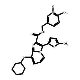 Cc1ccc(-c2c(C(=O)NCc3ccc(C)[n+]([O-])c3)nc3c(NC4CCCCC4)cccn23)s1